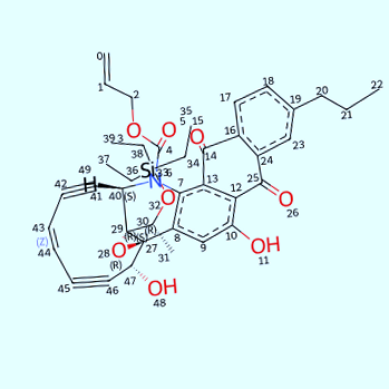 C=CCOC(=O)N1c2c(cc(O)c3c2C(=O)c2ccc(CCC)cc2C3=O)[C@@]23O[C@@]2([C@@H](C)O[Si](CC)(CC)CC)[C@@H]1C#C/C=C\C#C[C@H]3O